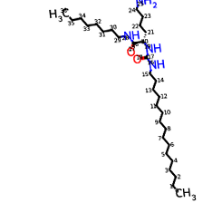 CCCCCCCCCCCCCCCCNC(=O)N[C@@H](CCCCN)C(=O)NCCCCCCCC